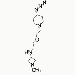 CN1CC(NCCOCCN2CCC(N=[N+]=[N-])CC2)C1